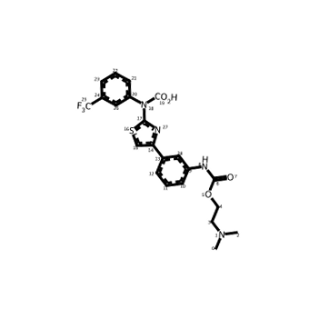 CN(C)CCOC(=O)Nc1cccc(-c2csc(N(C(=O)O)c3cccc(C(F)(F)F)c3)n2)c1